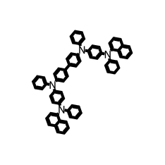 C1=CC(N(c2ccc(N(c3ccccc3)c3ccc(-c4ccc(N(c5ccccc5)c5ccc(N(c6ccccc6)c6cccc7ccccc67)cc5)cc4)cc3)cc2)c2cccc3ccccc23)=CCC1